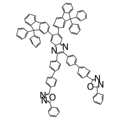 c1ccc(-c2nnc(-c3ccc(-c4ccc(-c5nc6cc(-c7ccc8c(c7)C(c7ccccc7)(c7ccccc7)c7ccccc7-8)c(-c7ccc8c(c7)C(c7ccccc7)(c7ccccc7)c7ccccc7-8)cc6nc5-c5ccc(-c6ccc(-c7nnc(-c8ccccc8)o7)cc6)cc5)cc4)cc3)o2)cc1